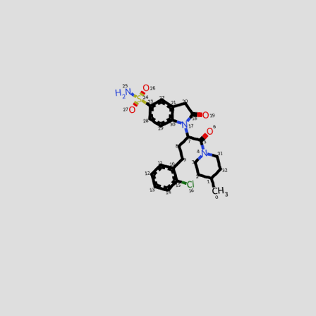 CC1CCN(C(=O)C(CCc2ccccc2Cl)N2C(=O)Cc3cc(S(N)(=O)=O)ccc32)CC1